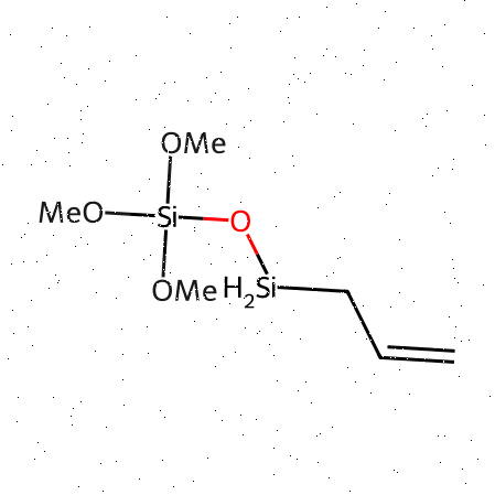 C=CC[SiH2]O[Si](OC)(OC)OC